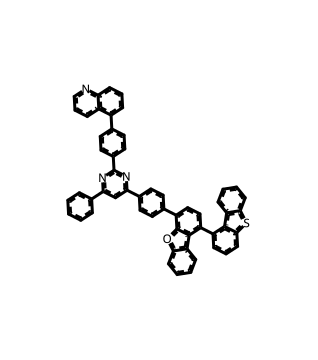 c1ccc(-c2cc(-c3ccc(-c4ccc(-c5cccc6sc7ccccc7c56)c5c4oc4ccccc45)cc3)nc(-c3ccc(-c4cccc5ncccc45)cc3)n2)cc1